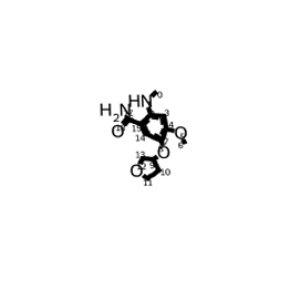 CNc1cc(OC)c(OC2CCOC2)cc1C(N)=O